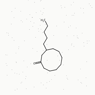 CCCCC[C]1CCCCCCCC(=O)C1